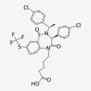 C[C@H](c1ccc(Cl)cc1)N1C(=O)c2cc(SC(F)(F)F)ccc2N(CCCCC(=O)O)C(=O)[C@@H]1c1ccc(Cl)cc1